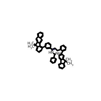 CC1(C)c2ccccc2-c2ccc(-c3ccccc3C/C=C(\NC(N)c3ccccc3)c3cccc(-c4cccc5c4-c4cc6ccccc6cc4C5(C)C)c3)cc21